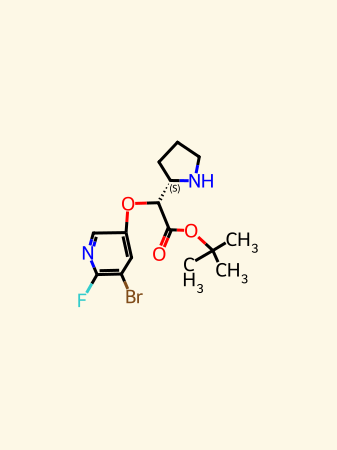 CC(C)(C)OC(=O)C(Oc1cnc(F)c(Br)c1)[C@@H]1CCCN1